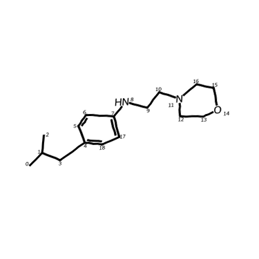 CC(C)Cc1ccc(NCCN2CCOCC2)cc1